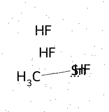 F.F.F.[CH3][Sn]